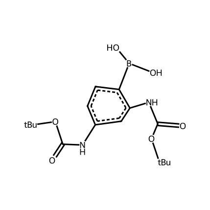 CC(C)(C)OC(=O)Nc1ccc(B(O)O)c(NC(=O)OC(C)(C)C)c1